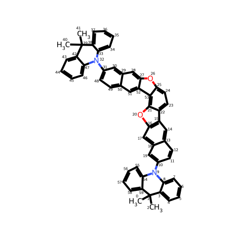 CC1(C)c2ccccc2N(c2ccc3cc4c(cc3c2)oc2c4ccc3oc4cc5cc(N6c7ccccc7C(C)(C)c7ccccc76)ccc5cc4c32)c2ccccc21